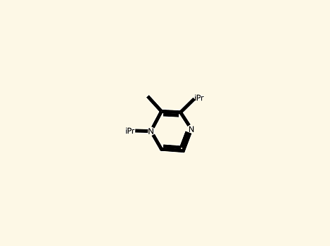 CC1=C(C(C)C)N=C=CN1C(C)C